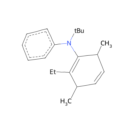 CCC1=C(N(c2ccccc2)C(C)(C)C)C(C)C=CC1C